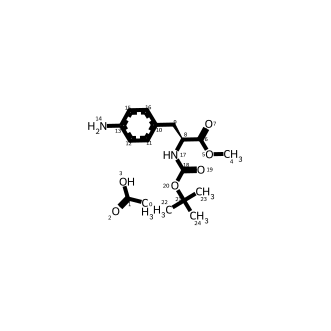 CC(=O)O.COC(=O)[C@H](Cc1ccc(N)cc1)NC(=O)OC(C)(C)C